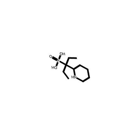 CCC(CC)(C1CCCCN1)P(=O)(O)O